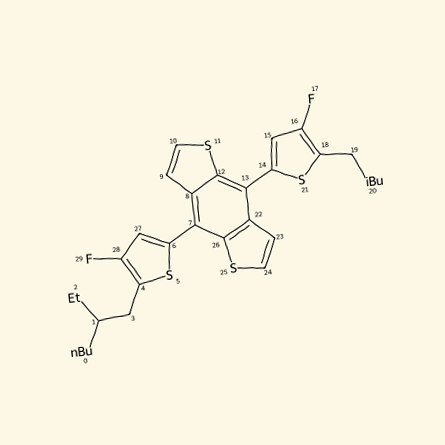 CCCCC(CC)Cc1sc(-c2c3ccsc3c(-c3cc(F)c(CC(C)CC)s3)c3ccsc23)cc1F